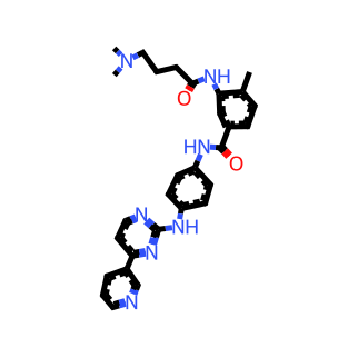 Cc1ccc(C(=O)Nc2ccc(Nc3nccc(-c4cccnc4)n3)cc2)cc1NC(=O)CCCN(C)C